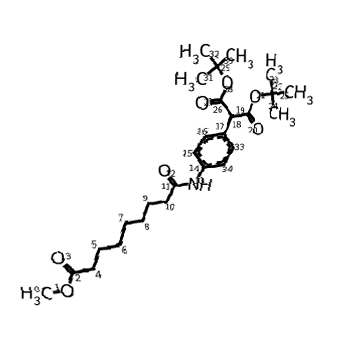 COC(=O)CCCCCCCC(=O)Nc1ccc(C(C(=O)OC(C)(C)C)C(=O)OC(C)(C)C)cc1